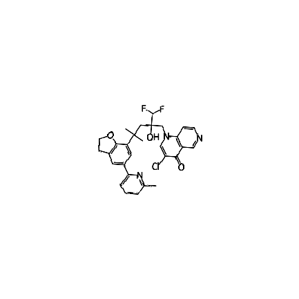 Cc1cccc(-c2cc3c(c(C(C)(C)CC(O)(Cn4cc(Cl)c(=O)c5cnccc54)C(F)F)c2)OCC3)n1